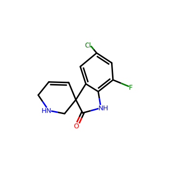 O=C1Nc2c(F)cc(Cl)cc2C12C=CCNC2